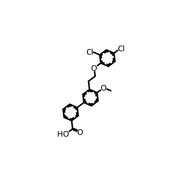 COc1ccc(-c2cccc(C(=O)O)c2)cc1CCOc1ccc(Cl)cc1Cl